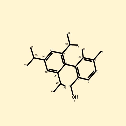 Cc1ccc(CO)c(-c2c(C(C)C)cc(C(C)C)cc2C(C)C)c1C